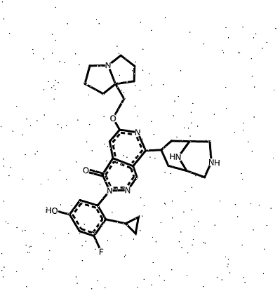 O=c1c2cc(OCC34CCCN3CCC4)nc(C3CC4CNCC(C3)N4)c2cnn1-c1cc(O)cc(F)c1C1CC1